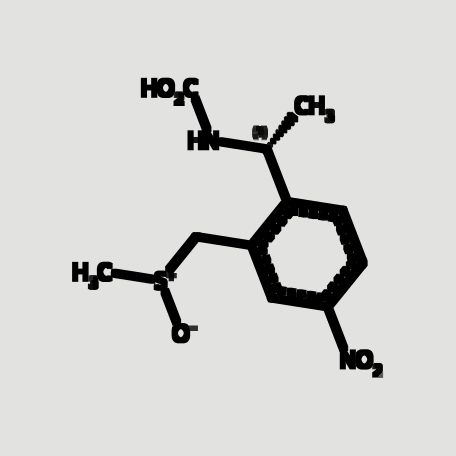 C[C@@H](NC(=O)O)c1ccc([N+](=O)[O-])cc1C[S+](C)[O-]